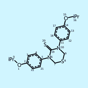 CC(C)Oc1ccc(N2CSCN(c3ccc(OC(C)C)cc3)C2=S)cc1